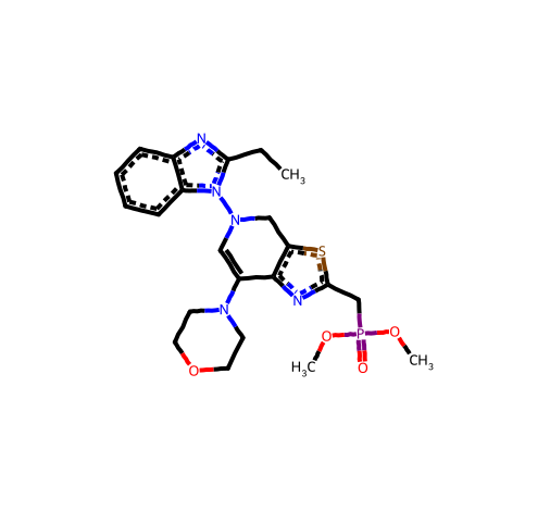 CCc1nc2ccccc2n1N1C=C(N2CCOCC2)c2nc(CP(=O)(OC)OC)sc2C1